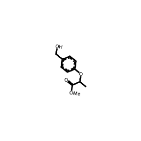 COC(=O)C(C)Oc1ccc(CO)cc1